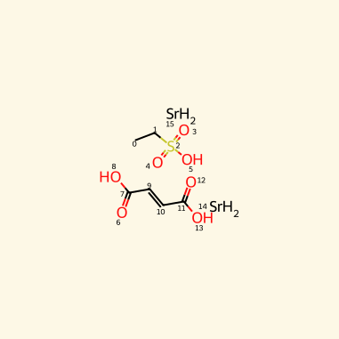 CCS(=O)(=O)O.O=C(O)/C=C/C(=O)O.[SrH2].[SrH2]